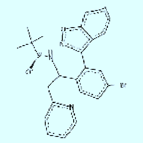 CC(C)(C)[S@+]([O-])NC(Cc1ccccn1)c1ccc(Br)cc1-c1noc2ccccc12